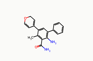 Cc1c(C2=CCOC=C2)cc(-c2ccccc2)c(N)c1C(N)=O